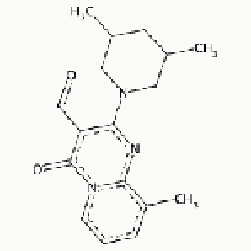 Cc1cccn2c(=O)c(C=O)c(N3CC(C)CC(C)C3)nc12